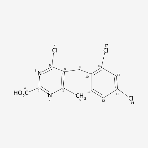 Cc1nc(C(=O)O)nc(Cl)c1Cc1ccc(Cl)cc1Cl